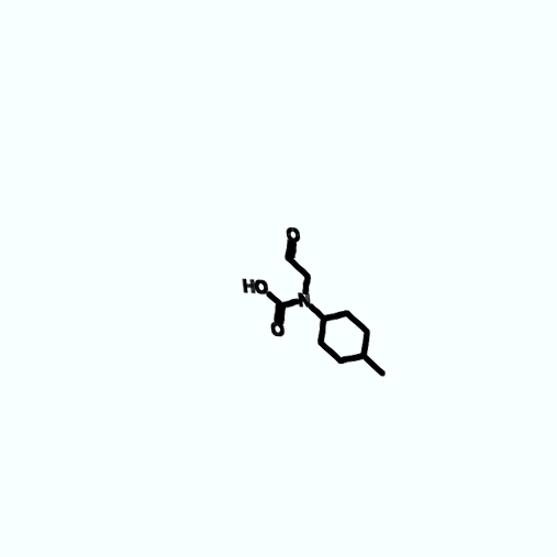 CC1CCC(N(CC=O)C(=O)O)CC1